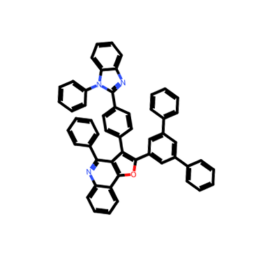 c1ccc(-c2cc(-c3ccccc3)cc(-c3oc4c(c(-c5ccccc5)nc5ccccc54)c3-c3ccc(-c4nc5ccccc5n4-c4ccccc4)cc3)c2)cc1